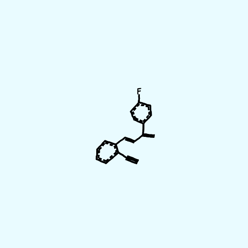 C#Cc1ccccc1C=CC(=C)c1ccc(F)cc1